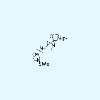 CSN1CCO[C@H](C(C)(C)N(C)CC2CC2([C@H]2CN(C(C)C)CCO2)N(C)C)C1